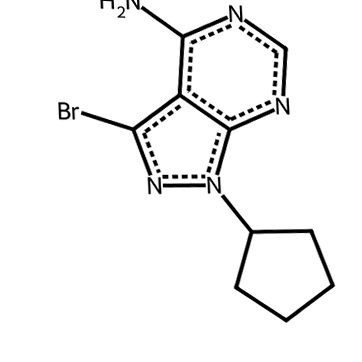 Nc1ncnc2c1c(Br)nn2C1CCCC1